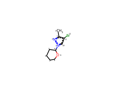 Cc1nn(C2CCCCO2)cc1Br